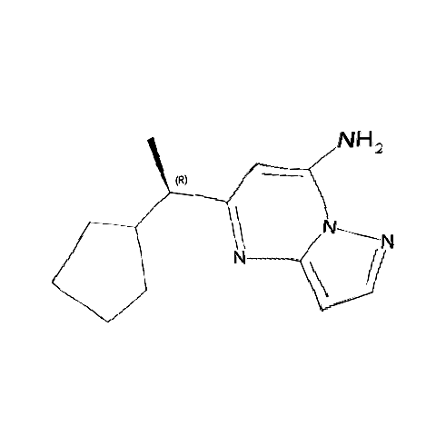 C[C@@H](c1cc(N)n2nccc2n1)C1CCCC1